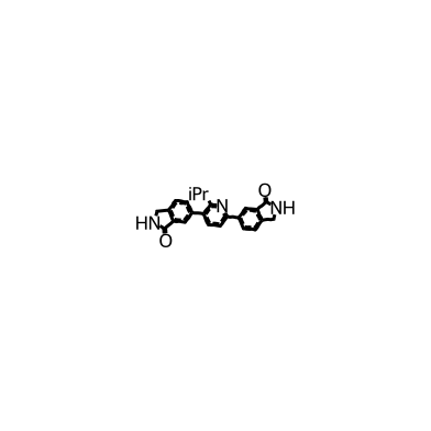 CC(C)c1nc(-c2ccc3c(c2)C(=O)NC3)ccc1-c1ccc2c(c1)C(=O)NC2